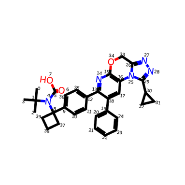 CC(C)(C)N(C(=O)O)C1(c2ccc(-c3nc4c(cc3-c3ccccc3)-n3c(nnc3C3CC3)CO4)cc2)CCC1